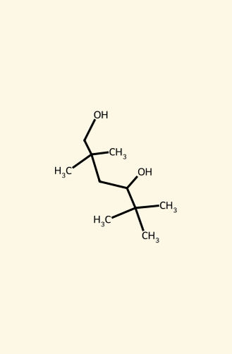 CC(C)(CO)CC(O)C(C)(C)C